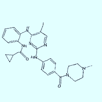 CN1CCN(C(=O)c2ccc(Nc3ncc(I)c(Nc4ccccc4NC(=O)C4CC4)n3)cc2)CC1